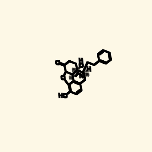 O=C1CC[C@@]2(O)[C@H]3Cc4ccc(O)c5c4[C@@]2(CCN3CCc2ccccc2)C1O5